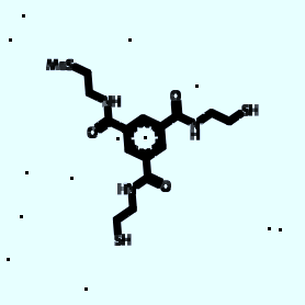 CSCCNC(=O)c1cc(C(=O)NCCS)cc(C(=O)NCCS)c1